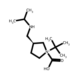 CC(C)NC[C@@H]1CC[N+](C(=O)O)(C(C)(C)C)C1